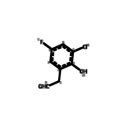 O=CCc1cc(F)cc(Cl)c1O